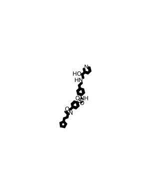 O=S(=O)(Nc1ccc(CCNC[C@H](O)c2cccnc2)cc1)c1ccc(-c2nc(CCC3CCCC3)co2)cc1